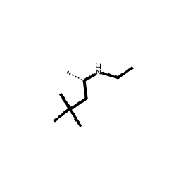 CCN[C@@H](C)CC(C)(C)C